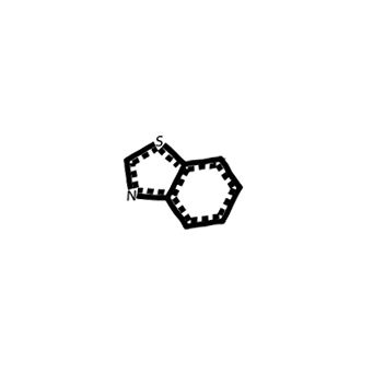 [c]1cccc2ncsc12